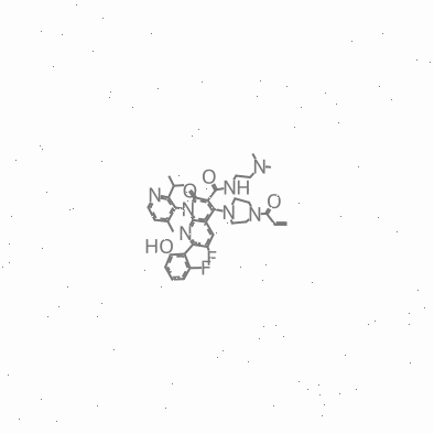 C=CC(=O)N1CCN(c2c(C(=O)NCCN(C)C)c(=O)n(-c3c(C)ccnc3C(C)C)c3nc(-c4c(O)cccc4F)c(F)cc23)CC1